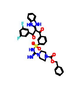 N=C(NS(=O)(=O)c1cccc(C(=O)C(C(=O)c2cc(F)cc(F)c2)=C2Nc3ccccc3N2)c1)N1CCN(C(=O)OCc2ccccc2)CC1